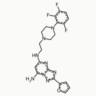 Nc1cc(NCCN2CCN(c3c(F)ccc(F)c3F)CC2)nc2nc(-c3ccco3)nn12